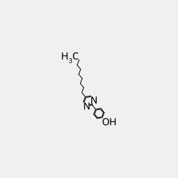 CCCCCCCCCc1cnc(-c2ccc(O)cc2)nc1